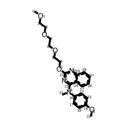 COCCOCCOCCOc1nc(N(C)c2ccc(OC)cc2)c2ccccc2n1